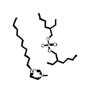 CCCCC(CC)COP(=O)([O-])OCC(CC)CCCC.CCCCCCCCCC[n+]1ccn(C)c1